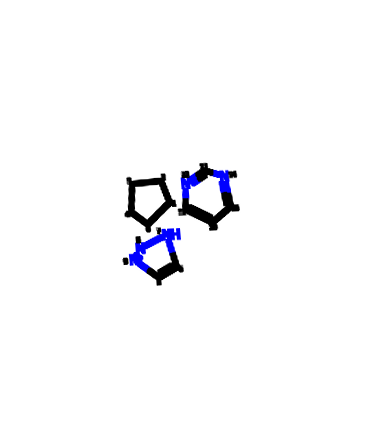 C1CCCC1.c1c[nH]nn1.c1cncnc1